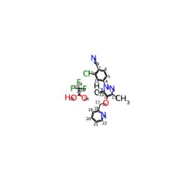 Cc1nn(-c2ccc(C#N)c(Cl)c2)c(C)c1OCc1ccccn1.O=C(O)C(F)(F)F